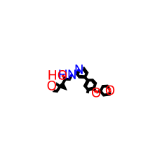 Cc1cc(-c2ccnc(NCC(O)C3CC34CCOC4)c2)ccc1OC1CCOCC1